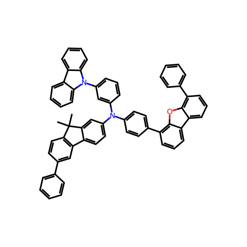 CC1(C)c2ccc(-c3ccccc3)cc2-c2ccc(N(c3ccc(-c4cccc5c4oc4c(-c6ccccc6)cccc45)cc3)c3cccc(-n4c5ccccc5c5ccccc54)c3)cc21